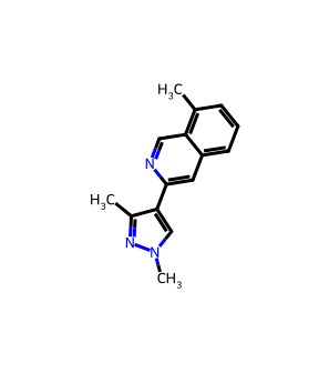 Cc1nn(C)cc1-c1cc2cccc(C)c2cn1